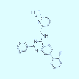 Cc1cccc(CNc2nc(-c3cccnc3)nc3cc(-c4ccccc4F)ccc23)n1